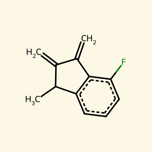 C=C1C(=C)C(C)c2cccc(F)c21